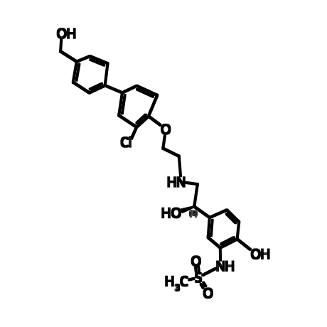 CS(=O)(=O)Nc1cc([C@@H](O)CNCCOc2ccc(-c3ccc(CO)cc3)cc2Cl)ccc1O